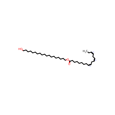 CC/C=C\C/C=C\C/C=C\CCCCCCCC(=O)OCCCCCCCCCCCCCCCCCCCO